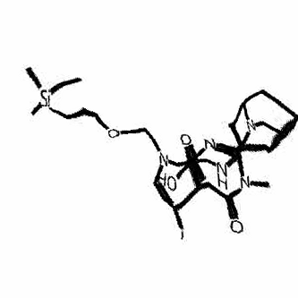 Cn1c(N2C3CCC2CC(NC(=O)O)C3)nc2c(c(I)cn2COCC[Si](C)(C)C)c1=O